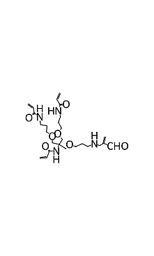 C=CC(=O)NCCCOCC(COCCCNCC(=C)C=O)(COCCCNC(=O)C=C)NC(=O)C=C